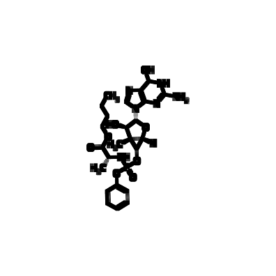 CCCCOC(=O)[C@@H](C)NP(=O)(Oc1ccccc1)OC1[C@H]2O[C@@H](n3cnc4c3N=C(N)NC4O)[C@H](O)[C@@]12C